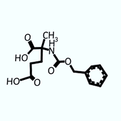 CC(CCC(=O)O)(NC(=O)OCc1ccccc1)C(=O)O